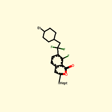 CCCCCCCc1cc2ccc(C(F)(F)CC3CCC(CC)CC3)c(F)c2c(=O)o1